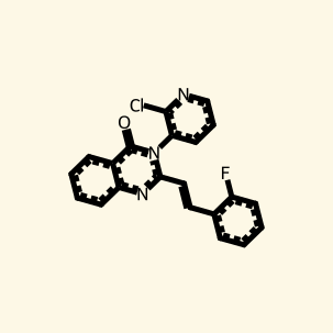 O=c1c2ccccc2nc(C=Cc2ccccc2F)n1-c1cccnc1Cl